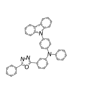 c1ccc(-c2nnc(-c3cccc(N(c4ccccc4)c4ccc(-n5c6ccccc6c6ccccc65)cc4)c3)o2)cc1